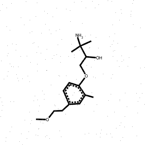 COCCc1ccc(OCC(O)C(C)(C)N)c(C)c1